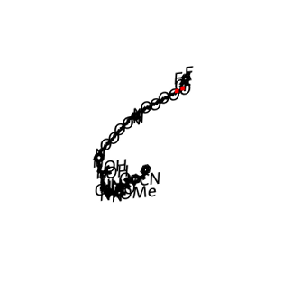 COc1cnc(-n2cnc(C(=O)NCCCN(CCCN3CCN(CCOCCOCCOCCOCc4cn(CCOCCOCCOCCOCCC(=O)Oc5c(F)cc(F)cc5F)nn4)CC3)C(CO)CO)n2)c2[nH]cc(C(=O)C(=O)N3CCC(=C(C#N)c4ccccc4)CC3)c12